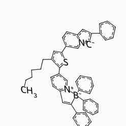 CCCCCCc1cc(-c2ccc3cc(-c4ccccc4)[cH-][n+]3c2)sc1-c1ccc2[n+](c1)[B-](c1ccccc1)(c1ccccc1)C(c1ccccc1)=C2